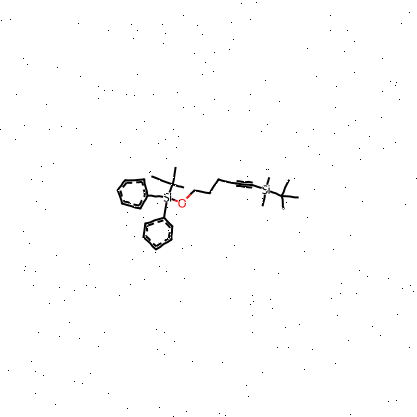 CC(C)(C)[Si](C)(C)C#CCCCO[Si](c1ccccc1)(c1ccccc1)C(C)(C)C